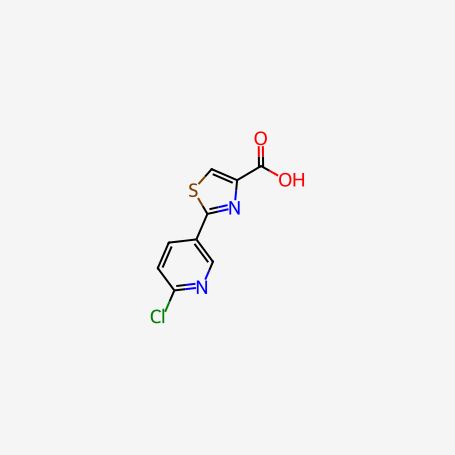 O=C(O)c1csc(-c2ccc(Cl)nc2)n1